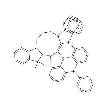 CC1C2=C(N(c3cc#ccc3)CCCC3c4ccccc4C(C)(C)C13)N(c1ccccc1)c1cccc3c1B2C1=CC=C=C=C1N3c1ccccc1